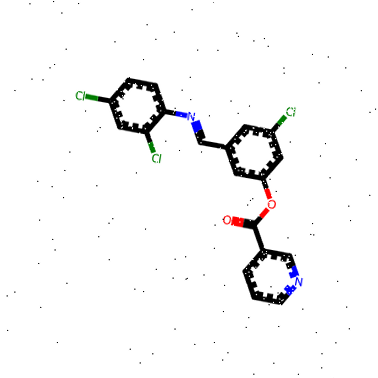 O=C(Oc1cc(Cl)cc(C=Nc2ccc(Cl)cc2Cl)c1)c1cccnc1